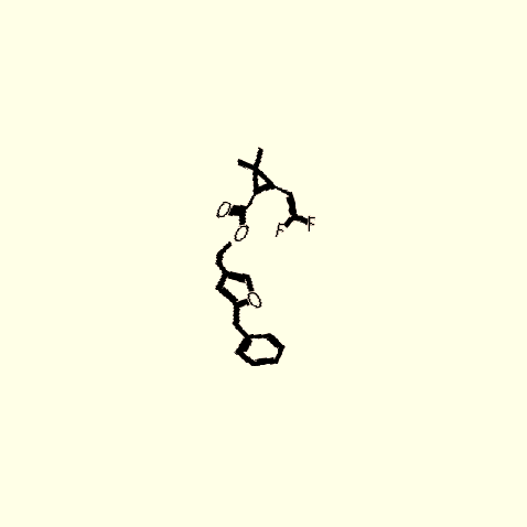 CC1(C)[C@H](C(=O)OCc2coc(Cc3ccccc3)c2)[C@@H]1C=C(F)F